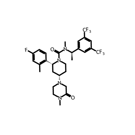 Cc1cc(F)ccc1[C@H]1C[C@@H](N2CCN(C)C(=O)C2)CCN1C(=O)N(C)[C@H](C)c1cc(C(F)(F)F)cc(C(F)(F)F)c1